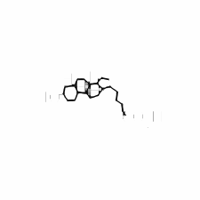 C[C@H](CCCC(=O)O)[C@H]1CC[C@H]2[C@@H]3CC[C@@H]4C[C@H](O)CC[C@]4(C)[C@H]3CC[C@]12C